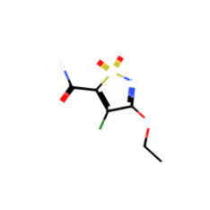 CCOC1=NS(=O)(=O)C(C(N)=O)=C1Cl